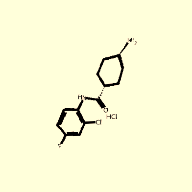 Cl.N[C@H]1CC[C@H](C(=O)Nc2ccc(F)cc2Cl)CC1